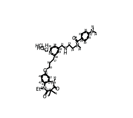 CCN1C(=O)C(C)(C)C(=O)N(C)c2cc(OCCCc3cc(CNCCN(C)C(=O)c4ccc(N(C)C)cc4)ccn3)ccc21.Cl.Cl.Cl